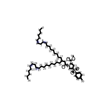 CCCCC/C=C\C/C=C\CCCCCCCCC(CCCCCCCC/C=C\C/C=C\CCCCC)CC(=O)N1C[C@@H](S(=O)(=O)c2ccc(C)cc2)C[C@H]1C(=O)OC